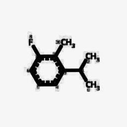 C[C](C)c1cccc(F)c1C